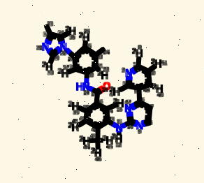 [2H]c1nc([2H])c(-c2ccnc(N([2H])c3c([2H])c(C(=O)Nc4c([2H])c(C)c([2H])c(-n5c([2H])nc(C)c5[2H])c4[2H])c([2H])c([2H])c3C([2H])([2H])[2H])n2)c([2H])c1[2H]